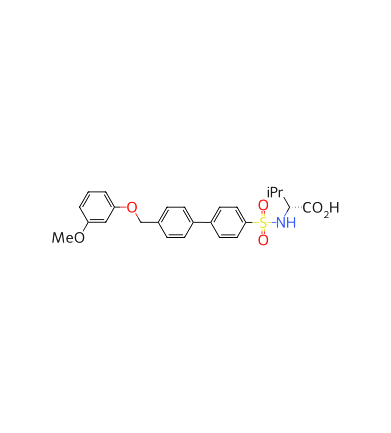 COc1cccc(OCc2ccc(-c3ccc(S(=O)(=O)N[C@@H](C(=O)O)C(C)C)cc3)cc2)c1